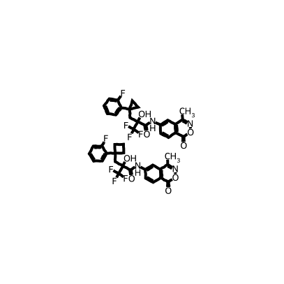 Cc1noc(=O)c2ccc(NC(=O)C(O)(CC3(c4ccccc4F)CC3)C(F)(F)F)cc12.Cc1noc(=O)c2ccc(NC(=O)C(O)(CC3(c4ccccc4F)CCC3)C(F)(F)F)cc12